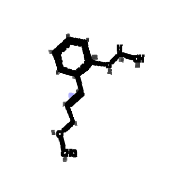 O=COC/C=C/c1ccccc1OBO